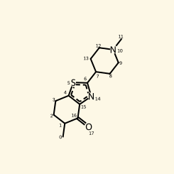 CC1CCc2sc(C3CCN(C)CC3)nc2C1=O